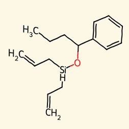 C=CC[SiH](CC=C)OC(CCC)c1ccccc1